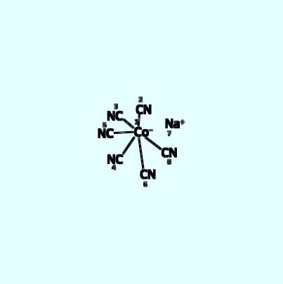 N#[C][Co-]([C]#N)([C]#N)([C]#N)([C]#N)[C]#N.[Na+]